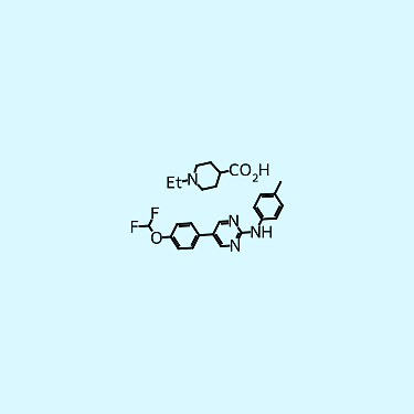 CCN1CCC(C(=O)O)CC1.Cc1ccc(Nc2ncc(-c3ccc(OC(F)F)cc3)cn2)cc1